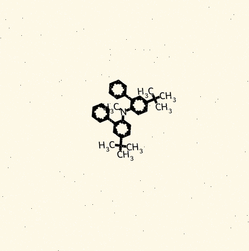 CN(c1ccc(C(C)(C)C)cc1-c1ccccc1)c1ccc(C(C)(C)C)cc1-c1ccccc1